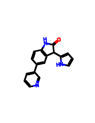 O=C1Nc2ccc(-c3cccnc3)cc2C1c1ccc[nH]1